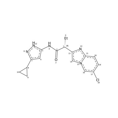 CC[C@@H](C(=O)Nc1cc(C2CC2)n[nH]1)c1cn2cc(Cl)ccc2n1